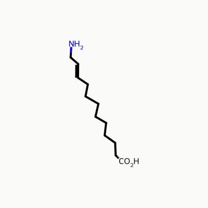 NC/C=C/CCCCCCCCC(=O)O